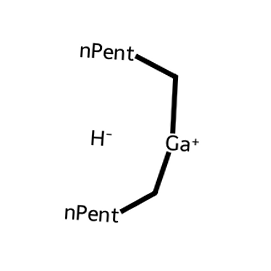 CCCCC[CH2][Ga+][CH2]CCCCC.[H-]